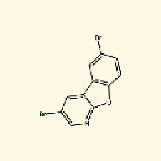 Brc1ccc2oc3ncc(Br)cc3c2c1